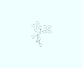 c1ccc(-n2ccc3c2ccc2c4cc(N(c5ccc6c(c5)C(c5ccccc5)(c5ccccc5)c5ccccc5-6)c5ccc6c(c5)C(c5ccccc5)(c5ccccc5)c5ccccc5-6)ccc4n(-c4ccccc4)c23)cc1